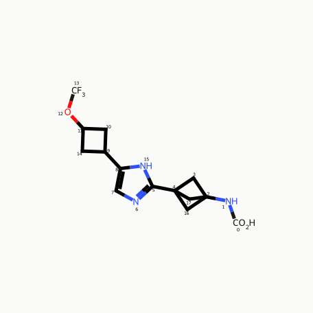 O=C(O)NC12CC(c3ncc(C4CC(OC(F)(F)F)C4)[nH]3)(C1)C2